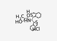 CC(CO)C(O)NC(c1scc2ccccc12)c1scc2ccccc12.Cl